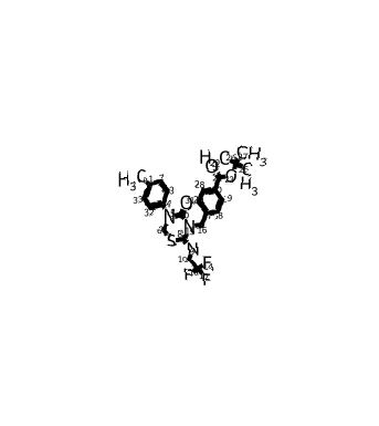 Cc1ccc(N2CSC(=NCC(F)(F)F)N(Cc3ccc(C(=O)OC(C)(C)C)cc3)C2=O)cc1